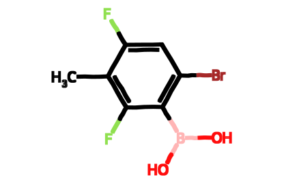 Cc1c(F)cc(Br)c(B(O)O)c1F